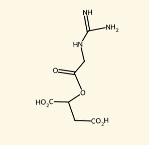 N=C(N)NCC(=O)OC(CC(=O)O)C(=O)O